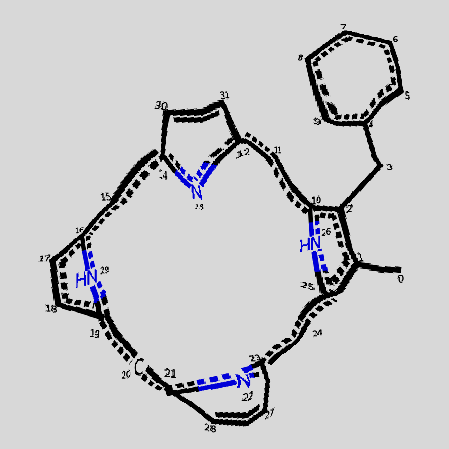 Cc1c(Cc2ccccc2)c2cc3nc(cc4ccc(cc5nc(cc1[nH]2)C=C5)[nH]4)C=C3